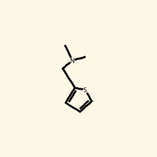 CN(C)Cc1cc[c]s1